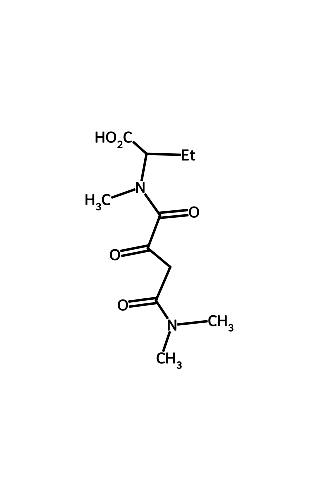 CCC(C(=O)O)N(C)C(=O)C(=O)CC(=O)N(C)C